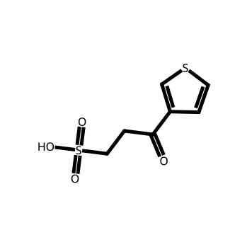 O=C(CCS(=O)(=O)O)c1ccsc1